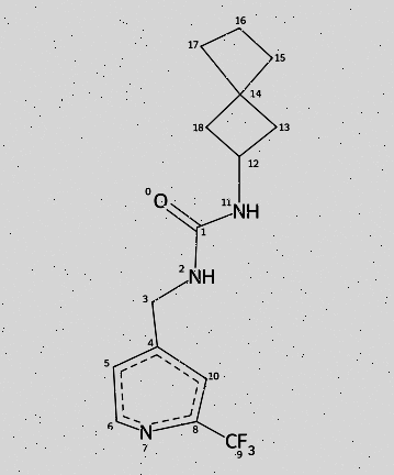 O=C(NCc1ccnc(C(F)(F)F)c1)NC1CC2(CCC2)C1